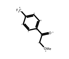 COCC(=O)c1ccc(C(F)(F)F)cc1